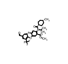 COC(=O)c1cc(Oc2ccc(C=O)cc2C(F)(F)F)c(F)cc1N(C(=O)[C@H]1CC[C@H](C)CC1)C(C)C